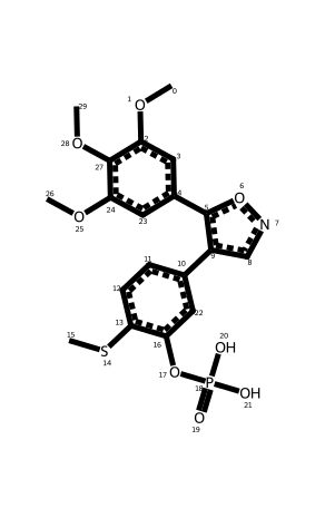 COc1cc(-c2oncc2-c2ccc(SC)c(OP(=O)(O)O)c2)cc(OC)c1OC